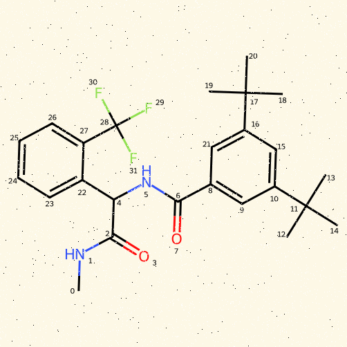 CNC(=O)C(NC(=O)c1cc(C(C)(C)C)cc(C(C)(C)C)c1)c1ccccc1C(F)(F)F